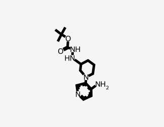 CC(C)(C)OC(=O)NNC1CCCN(c2cnccc2N)C1